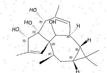 CC1=C[C@@H]2C(O)[C@]3(C=C(C)[C@H](O)[C@@]3(O)[C@@H]1O)[C@H](C)C[C@@H]1[C@H]2C1(C)C